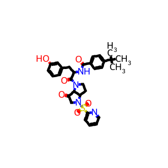 CC(C)(C)c1ccc(C(=O)NC(Cc2cccc(O)c2)C(=O)N2CCC3C2C(=O)CN3S(=O)(=O)c2ccccn2)cc1